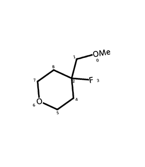 COCC1(F)CCOCC1